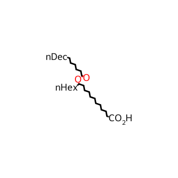 CCCCCCCCCCCCCCCC(=O)OC(CCCCCC)CCCCCCCCCCC(=O)O